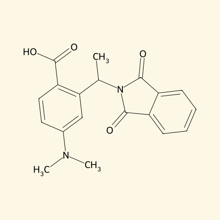 CC(c1cc(N(C)C)ccc1C(=O)O)N1C(=O)c2ccccc2C1=O